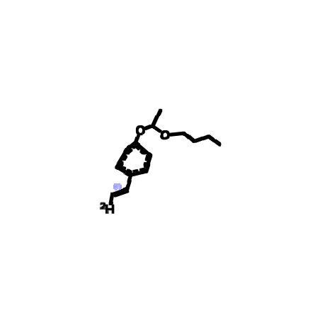 [2H]/C=C/c1ccc(OC(C)OCCCC)cc1